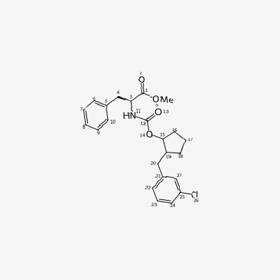 COC(=O)[C@H](Cc1ccccc1)NC(=O)OC1CCCC1Cc1cccc(Cl)c1